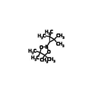 CC1(C)OB(C2C(C)(C)C2(C)C)OC1(C)C